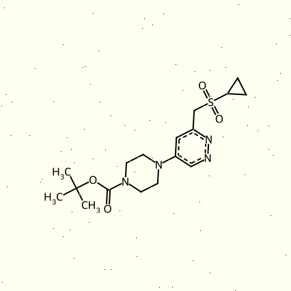 CC(C)(C)OC(=O)N1CCN(c2cnnc(CS(=O)(=O)C3CC3)c2)CC1